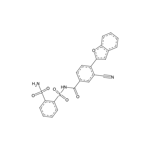 N#Cc1cc(C(=O)NS(=O)(=O)c2ccccc2S(N)(=O)=O)ccc1-c1cc2ccccc2o1